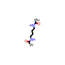 CC(C)C(=O)NCCCCNC(=O)C(C)(C)C